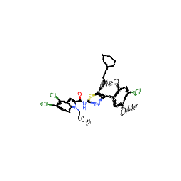 COc1cc(-c2nc(NC(=O)c3cc4c(Cl)c(Cl)ccc4n3CC(=O)O)sc2CCC2CCCCC2)c(OC)cc1Cl